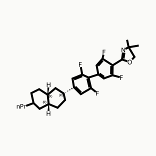 CCCC1CC[C@@H]2C[C@H](c3cc(F)c(-c4cc(F)c(C5=NC(C)(C)CO5)c(F)c4)c(F)c3)CC[C@@H]2C1